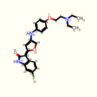 CCN(CC)CCOc1ccc(NC2=C/C(=C3\C(=O)Nc4cc(F)ccc43)OC2)cc1